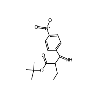 CCC(C(=N)c1ccc([N+](=O)[O-])cc1)C(=O)OC(C)(C)C